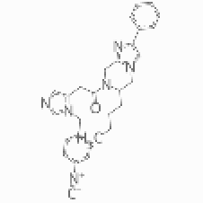 [C-]#[N+]c1ccc(Cn2cncc2CC(=O)N2Cc3nc(-c4ccccc4)cn3CC2CCCC)cc1